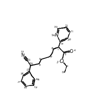 CCOC(=O)C(CCCCC(C#N)c1ccccc1)c1ccccn1